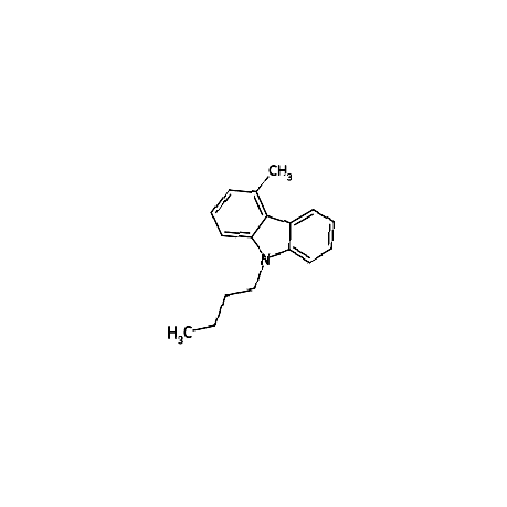 CCCCn1c2ccccc2c2c(C)cccc21